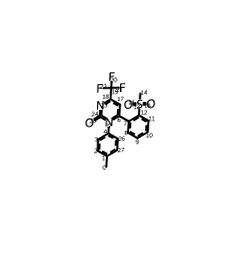 Cc1ccc(-n2c(-c3ccccc3S(C)(=O)=O)cc(C(F)(F)F)nc2=O)cc1